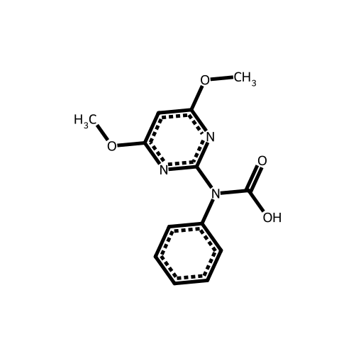 COc1cc(OC)nc(N(C(=O)O)c2ccccc2)n1